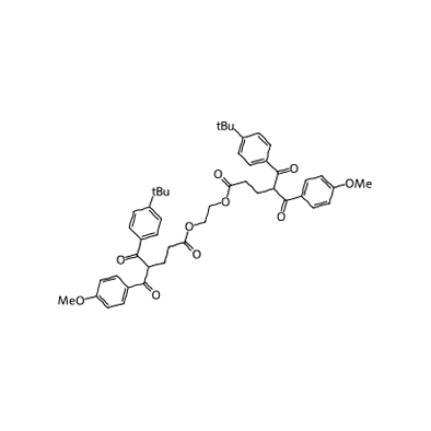 COc1ccc(C(=O)C(CCC(=O)OCCOC(=O)CCC(C(=O)c2ccc(OC)cc2)C(=O)c2ccc(C(C)(C)C)cc2)C(=O)c2ccc(C(C)(C)C)cc2)cc1